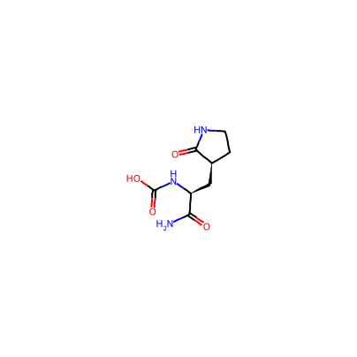 NC(=O)[C@H](C[C@@H]1CCNC1=O)NC(=O)O